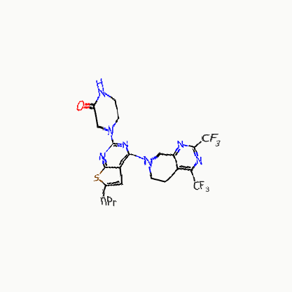 CCCc1cc2c(N3CCc4c(nc(C(F)(F)F)nc4C(F)(F)F)C3)nc(N3CCNC(=O)C3)nc2s1